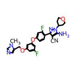 Cn1cncc1COc1cc(F)cc(Oc2ccc(-c3nn(C4CCOCC4)c(N)c3C#N)c(F)c2)c1